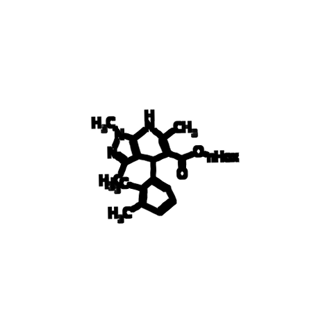 CCCCCCOC(=O)C1=C(C)Nc2c(c(C)nn2C)C1c1cccc(C)c1C